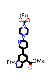 CCN1CCc2c(C(=O)OC)cc(-c3ccc(N4CCN(C(=O)OC(C)(C)C)CC4)nc3)cc21